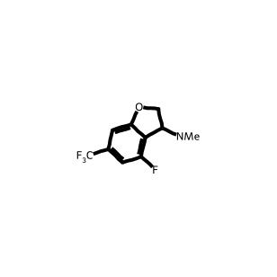 CNC1COc2cc(C(F)(F)F)cc(F)c21